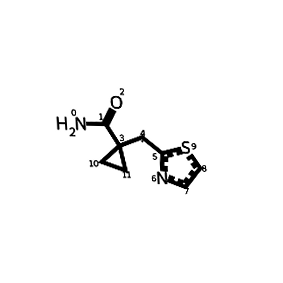 NC(=O)C1([CH]c2nccs2)CC1